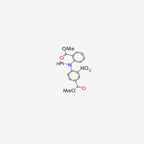 CCCN(c1ccccc1C(=O)OC)c1ccc(C(=O)OC)cc1[N+](=O)[O-]